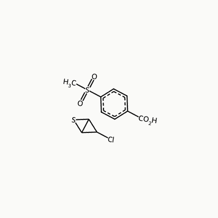 CS(=O)(=O)c1ccc(C(=O)O)cc1.ClC1C2SC12